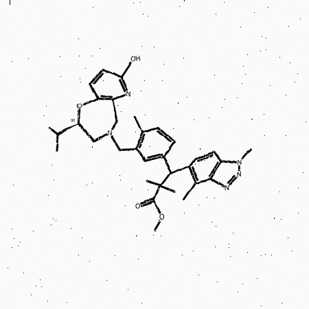 COC(=O)C(C)(C)C(c1ccc(C)c(CN2Cc3nc(O)ccc3O[C@H](C(C)C)C2)c1)c1ccc2c(nnn2C)c1C